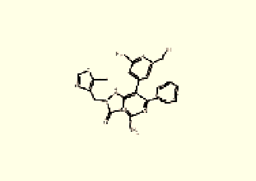 Cc1ocnc1Cn1[nH]c2c(-c3cc(CO)nc(C(F)(F)F)c3)c(-c3ccccc3)nc(N)[n+]2c1=O